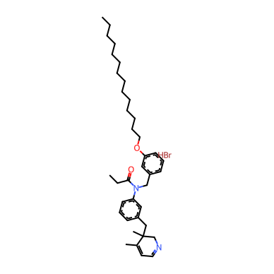 Br.CCCCCCCCCCCCCCOc1cccc(CN(C(=O)CC)c2cccc(CC3(C)CN=CC=C3C)c2)c1